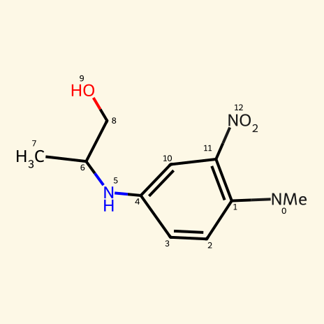 CNc1ccc(NC(C)CO)cc1[N+](=O)[O-]